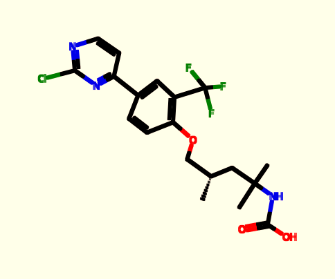 C[C@H](COc1ccc(-c2ccnc(Cl)n2)cc1C(F)(F)F)CC(C)(C)NC(=O)O